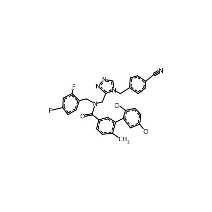 Cc1ccc(C(=O)N(Cc2ccc(F)cc2F)Cc2nncn2Cc2ccc(C#N)cc2)cc1-c1cc(Cl)ccc1Cl